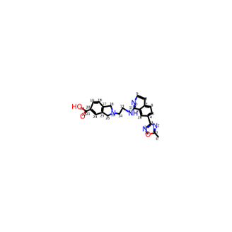 Cc1nc(-c2ccc3ccnc(NCCN4Cc5ccc(C(=O)O)cc5C4)c3c2)no1